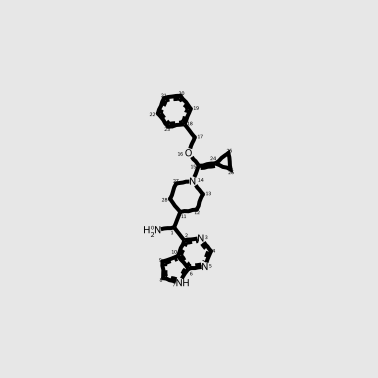 NC(c1ncnc2[nH]ccc12)C1CCN(C(OCc2ccccc2)=C2CC2)CC1